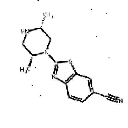 C[C@@H]1CN(c2nc3ccc(C#N)cc3s2)[C@@H](C)CN1